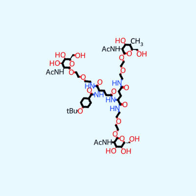 CC(=O)NC1C(OCCOCCNC(=O)C(CCC(=O)NCCOCCOC2O[C@H](CO)[C@H](C)[C@H](O)[C@H]2NC(C)=O)NC(=O)CCC(NC(=O)C2CCC(OC(C)(C)C)CC2)C(=O)NCCOCCOC2O[C@H](CO)[C@H](O)[C@H](O)[C@H]2NC(C)=O)O[C@H](CO)[C@H](O)[C@@H]1O